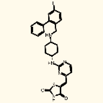 O=C1NC(=O)C(=Cc2ccnc(N[C@H]3CC[C@H](NCc4ccc(F)cc4-c4ccccc4)CC3)n2)S1